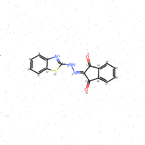 O=c1c(=NNc2nc3ccccc3s2)c(=O)c2ccccc12